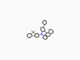 CC1(C)c2ccccc2-c2ccc(N(c3ccccc3)c3ccc(-c4ccccc4)cc3-c3cccc4ccccc34)cc21